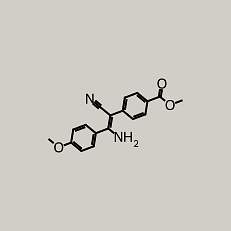 COC(=O)c1ccc(/C(C#N)=C(\N)c2ccc(OC)cc2)cc1